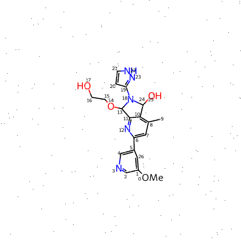 COc1cncc(-c2cc(C)c3c(n2)C(OCCO)N(c2cc[nH]n2)C3O)c1